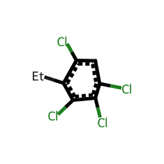 CCc1c(Cl)cc(Cl)c(Cl)c1Cl